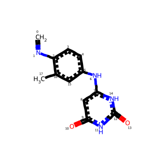 C=Nc1ccc(Nc2cc(=O)[nH]c(=O)[nH]2)cc1C